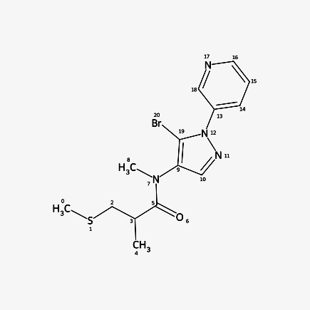 CSCC(C)C(=O)N(C)c1cnn(-c2cccnc2)c1Br